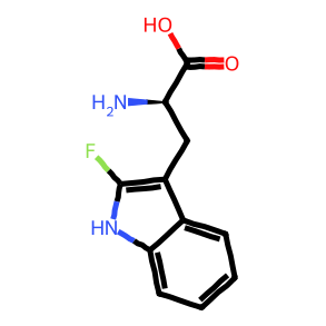 N[C@H](Cc1c(F)[nH]c2ccccc12)C(=O)O